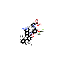 Cc1ccccc1C1=CC=CC(c2ccc3c(c2)CCNC3)(c2nc3cc(CN4CCC[C@H]4C(=O)O)c(OC(F)F)cc3o2)C1C